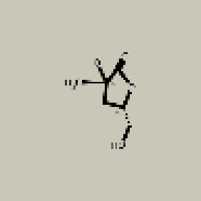 C[C@]1(O)C[C@@H](CO)OC1=O